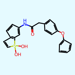 O=C(Cc1ccc(Oc2ccccc2)cc1)Nc1ccc2c(c1)S(O)(O)C=C2